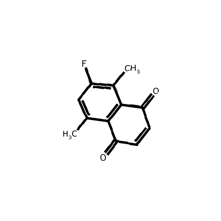 Cc1cc(F)c(C)c2c1C(=O)C=CC2=O